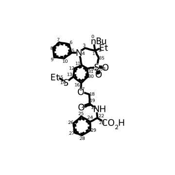 CCCCC1(CC)CN(c2ccccc2)c2cc(SCC)c(OCC(=O)NC(C(=O)O)c3ccccc3)cc2S(=O)(=O)C1